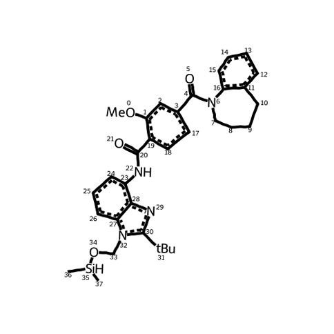 COc1cc(C(=O)N2CCCCc3ccccc32)ccc1C(=O)Nc1cccc2c1nc(C(C)(C)C)n2CO[SiH](C)C